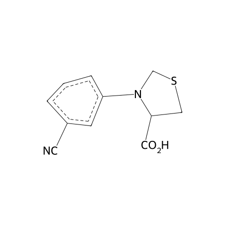 N#Cc1cccc(N2CSCC2C(=O)O)c1